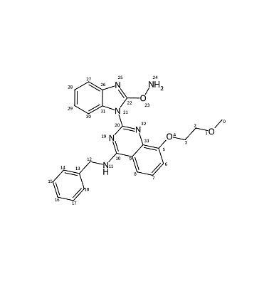 COCCOc1cccc2c(NCc3ccccc3)nc(-n3c(ON)nc4ccccc43)nc12